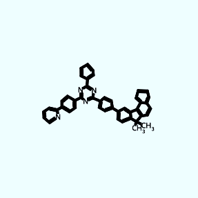 CC1(C)c2ccc(-c3ccc(-c4nc(-c5ccccc5)nc(-c5ccc(-c6ccccn6)cc5)n4)cc3)cc2-c2c1ccc1ccccc21